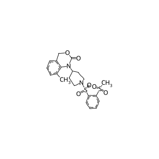 Cc1cccc2c1N(C1CCN(S(=O)(=O)c3ccccc3S(C)(=O)=O)CC1)C(=O)OC2